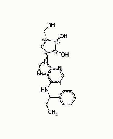 CCC(Nc1ncnc2c1ncn2[C@H]1O[C@H](CO)[C@@H](O)[C@H]1O)c1ccccc1